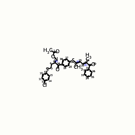 CC(=O)O/N=C(\CCSc1ccc(Cl)cc1)C(=O)c1ccc(S/C(C)=C/C=C(\C)C(=O)c2ccccc2)cc1